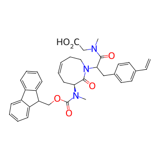 C=Cc1ccc(CC(C(=O)N(C)CC(=O)O)N2CC/C=C\C[C@H](N(C)C(=O)OCC3c4ccccc4-c4ccccc43)C2=O)cc1